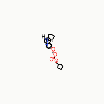 O=C(OCOc1ccc2c(c1)[C@]13CCCC[C@@H]1[C@H](C2)NCC3)OCC1CCCC1